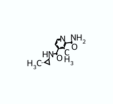 Cc1c(C(=O)N[C@H]2C[C@@H]2C)ccnc1C(N)=O